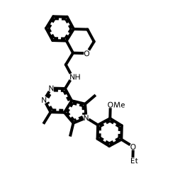 CCOc1ccc(-n2c(C)c3c(C)nnc(NCC4OCCc5ccccc54)c3c2C)c(OC)c1